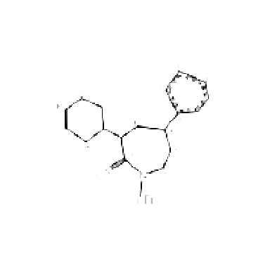 CCCN1CCC(c2ccccc2)CC(C2CCCCC2)C1=S